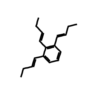 CC/C=C/c1c[c]cc(/C=C/CC)c1/C=C/CC